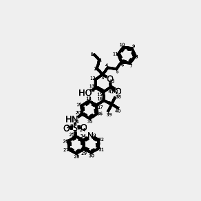 CCCC1(CCc2ccccc2)CC(O)=C(C(c2ccc(NS(=O)(=O)c3cccc4cccnc34)cc2)C(C)(C)C)C(=O)O1